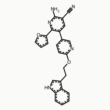 N#Cc1cc(-c2ccc(OCCc3c[nH]c4ccccc34)nc2)c(-c2ccco2)nc1N